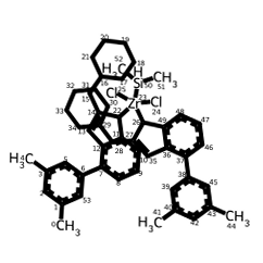 Cc1cc(C)cc(-c2cccc3c2C=C(CC2CCCCC2)[CH]3[Zr]([Cl])([Cl])([CH]2C(CC3CCCCC3)=Cc3c(-c4cc(C)cc(C)c4)cccc32)[SiH](C)C)c1